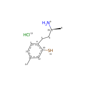 Cc1ccc(CC[C@H](C)N)c(S)c1.Cl